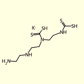 NCCNCCN(CCNC(=S)S)C(=S)S.[K]